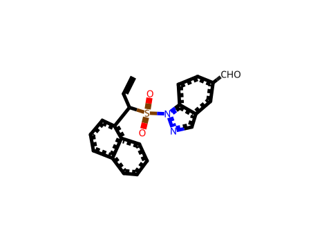 C=CC(c1cccc2ccccc12)S(=O)(=O)n1ncc2cc(C=O)ccc21